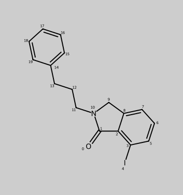 O=C1c2c(I)cccc2CN1CCCc1ccccc1